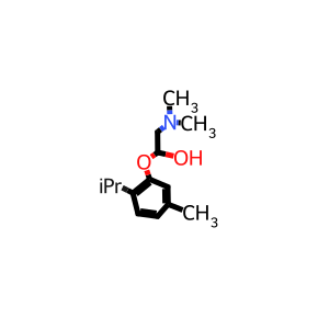 Cc1ccc(C(C)C)c(OC(O)CN(C)C)c1